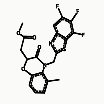 COC(=O)CC1Oc2cccc(C)c2N(Cc2nc3cc(F)c(F)c(F)c3s2)C1=O